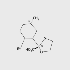 CC(C)C1CC[C@H](C)CC1[C@@]1(C(=O)O)OCCS1